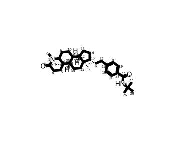 CN1C(=O)CC[C@@]2(C)C1CC[C@H]1[C@@H]3CC[C@H](CCc4ccc(C(=O)NC(C)(C)C)cc4)[C@@]3(C)CC[C@@H]12